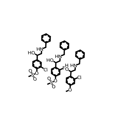 COc1ccc(C(O)CNCc2ccccc2)c(Cl)c1.CS(=O)(=O)Oc1ccc(C(O)CNCc2ccccc2)c(F)c1.CS(=O)(=O)Oc1ccc(C(O)CNCc2ccccc2)cc1Cl